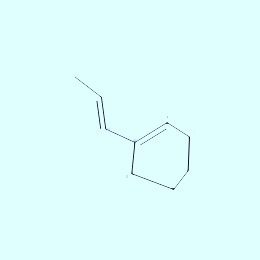 ClC=CC1=CCCCC1